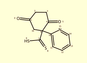 O=C1CCC(=O)C(C(=S)S)(c2ccccn2)C1